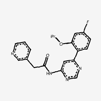 CC(C)Oc1cc(F)ccc1-c1cc(NC(=O)Cc2cccnc2)ncn1